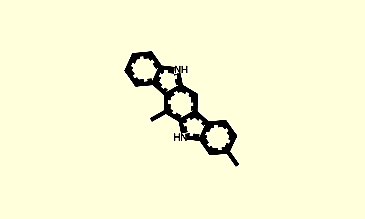 Cc1ccc2c(c1)[nH]c1c(C)c3c(cc12)[nH]c1ccccc13